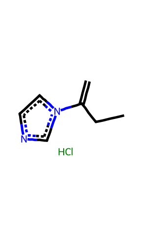 C=C(CC)n1ccnc1.Cl